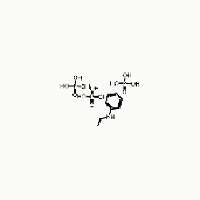 CCNc1ccccc1.O=P(O)(O)O.O=P(O)(O)O.O=P(O)(O)O